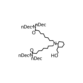 CCCCCCCCCCN(CCCCCCCCCC)C(=O)CCCCCCCN(CCCCCCCC(=O)N(CCCCCCCCCC)CCCCCCCCCC)C1CCCCC1CCO